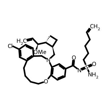 C=CCCCCS(N)(=O)=NC(=O)c1ccc2c(c1)N(C[C@@H]1CC[C@H]1[C@H](C=C)OC)Cc1ccc(Cl)cc1CCCCO2